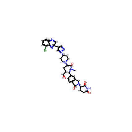 CN(Cc1ccc2c(c1)CN(C1CCC(=O)NC1=O)C2=O)C(=O)C(CCC=O)N1CCC(n2cc(-c3cnc4cccc(Br)c4n3)cn2)CC1